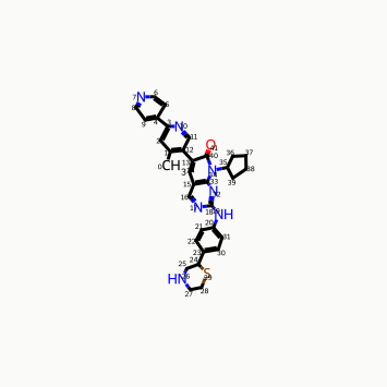 Cc1cc(-c2ccncc2)ncc1-c1cc2cnc(Nc3ccc(C4CNCCS4)cc3)nc2n(C2CCCC2)c1=O